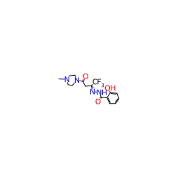 CN1CCN(C(=O)C/C(=N/NC(=O)c2ccccc2O)C(F)(F)F)CC1